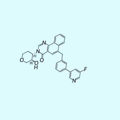 O=c1c2cc(Cc3cccc(-c4cncc(F)c4)c3)c3ccccc3c2ncn1[C@H]1CCOC[C@@H]1O